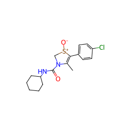 CC1=C(c2ccc(Cl)cc2)[S+]([O-])CN1C(=O)NC1CCCCC1